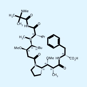 CC[C@H](C)[C@@H]([C@@H](CC(=O)N1CCC[C@H]1[C@H](OC)[C@@H](C)C(=O)N[C@H](Cc1ccccc1)C(=O)O)OC)N(C)[C@H](C(=O)NC(=O)C(C)(C)NC)C(C)C